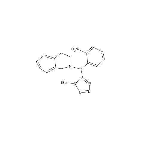 CC(C)(C)n1nnnc1C(c1ccccc1[N+](=O)[O-])N1CCc2ccccc2C1